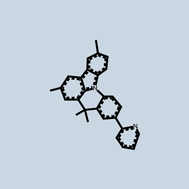 Cc1ccc2c(c1)c1cc(C)cc3c1n2-c1ccc(-c2ccccn2)cc1C3(C)C